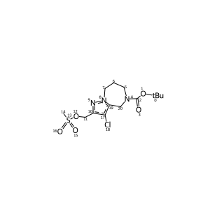 CC(C)(C)OC(=O)N1CCCn2nc(COS(C)(=O)=O)c(Cl)c2C1